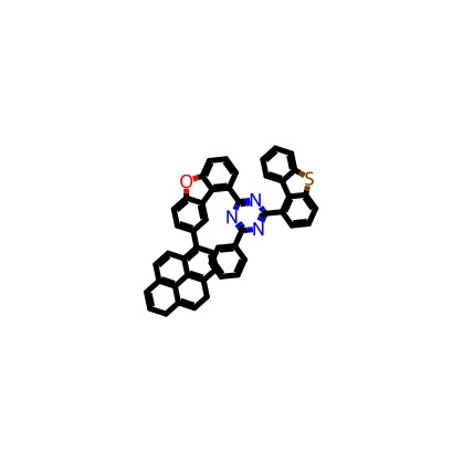 C1=Cc2ccc3c(-c4ccc5oc6cccc(-c7nc(-c8ccccc8)nc(-c8cccc9sc%10ccccc%10c89)n7)c6c5c4)ccc4c3c2C(=CC4)C1